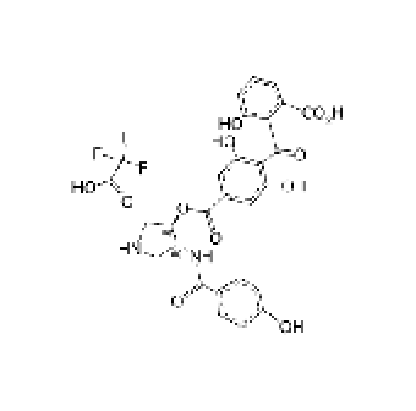 O=C(N[C@@H]1CNC[C@H]1OC(=O)c1cc(O)c(C(=O)c2c(O)cccc2C(=O)O)c(O)c1)c1ccc(O)cc1.O=C(O)C(F)(F)F